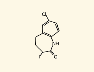 O=C1Nc2ccc(Cl)cc2CCC1I